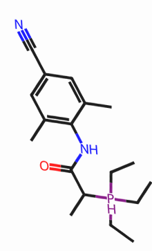 CC[PH](CC)(CC)C(C)C(=O)Nc1c(C)cc(C#N)cc1C